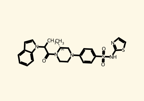 CC(C(=O)N1CCN(c2ccc(S(=O)(=O)Nc3nccs3)cc2)C[C@H]1C)n1ccc2ccccc21